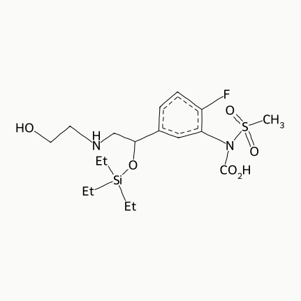 CC[Si](CC)(CC)OC(CNCCO)c1ccc(F)c(N(C(=O)O)S(C)(=O)=O)c1